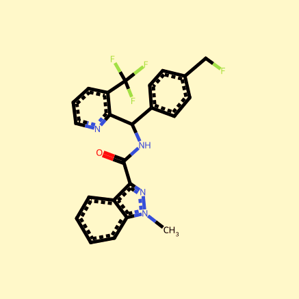 Cn1nc(C(=O)NC(c2ccc(CF)cc2)c2ncccc2C(F)(F)F)c2ccccc21